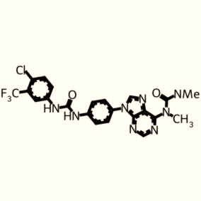 CNC(=O)N(C)c1ncnc2c1ncn2-c1ccc(NC(=O)Nc2ccc(Cl)c(C(F)(F)F)c2)cc1